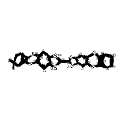 CC1(C)CC2C=CC1C1=C2Sc2cc3c(cc2S1)SC(=C1Sc2cc4c(cc2S1)SC1=C(S4)C2C=CC1CC2)S3